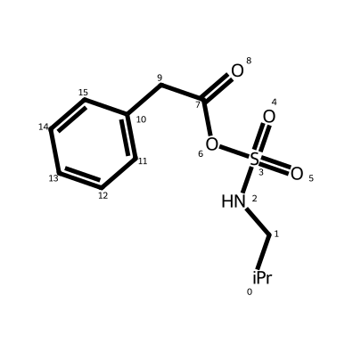 CC(C)CNS(=O)(=O)OC(=O)Cc1ccccc1